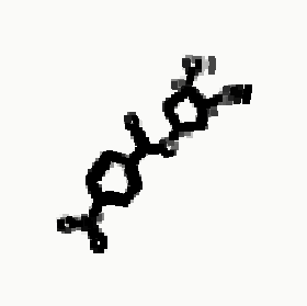 O=C(O[C@H]1C[C@@H](O)[C@@H](O)C1)c1ccc([N+](=O)[O-])cc1